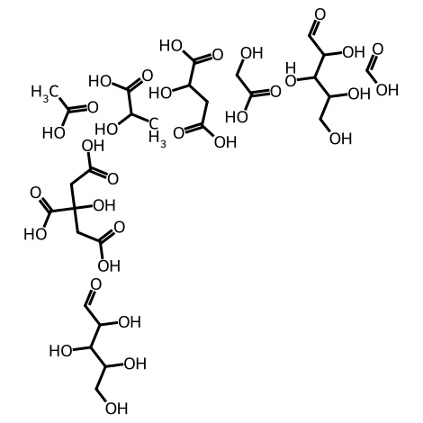 CC(=O)O.CC(O)C(=O)O.O=C(O)CC(O)(CC(=O)O)C(=O)O.O=C(O)CC(O)C(=O)O.O=C(O)CO.O=CC(O)C(O)C(O)CO.O=CC(O)C(O)C(O)CO.O=CO